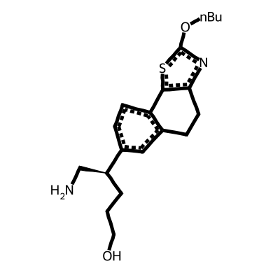 CCCCOc1nc2c(s1)-c1ccc([C@H](CN)CCCO)cc1CC2